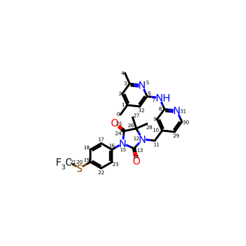 Cc1cc(C)nc(Nc2cc(CN3C(=O)N(c4ccc(SC(F)(F)F)cc4)C(=O)C3(C)C)ccn2)c1